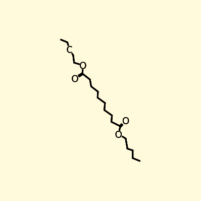 CCCCCOC(=O)CCCCCCCCC(=O)OCCCCC